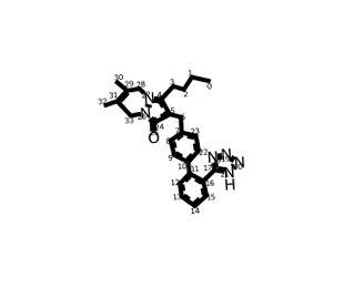 CCCCc1c(Cc2ccc(-c3ccccc3-c3nnn[nH]3)cc2)c(=O)n2n1CC(C)=C(C)C2